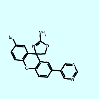 NC1=NC2(CO1)c1cc(Br)ccc1Oc1ccc(-c3cncnc3)cc12